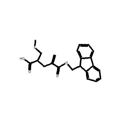 C=C(CC(CSC)C(=O)O)C(=O)OCC1c2ccccc2-c2ccccc21